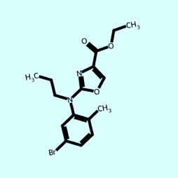 CCCN(c1nc(C(=O)OCC)co1)c1cc(Br)ccc1C